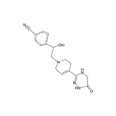 N#Cc1ccc(C(O)CN2CC=C(C3=NNC(=O)CN3)CC2)cc1